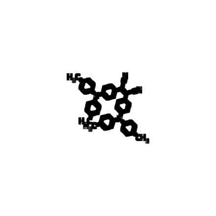 Cc1ccc(N(c2ccc(C)cc2)c2ccc(/C(C#N)=C(/C#N)c3ccc(N(c4ccc(C)cc4)c4ccc(C)cc4)cc3)cc2)cc1